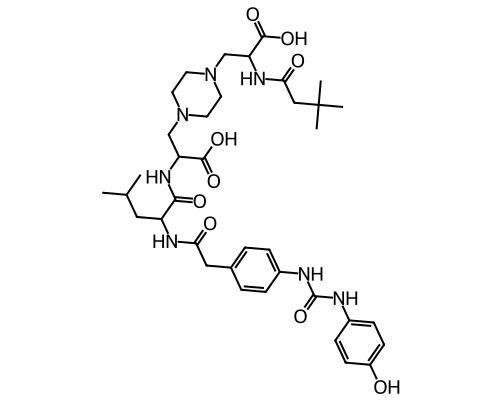 CC(C)CC(NC(=O)Cc1ccc(NC(=O)Nc2ccc(O)cc2)cc1)C(=O)NC(CN1CCN(CC(NC(=O)CC(C)(C)C)C(=O)O)CC1)C(=O)O